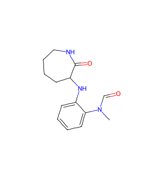 CN(C=O)c1ccccc1NC1CCCCNC1=O